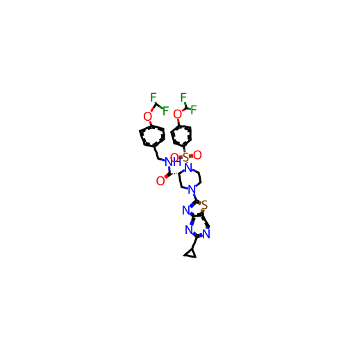 O=C(NCc1ccc(OC(F)F)cc1)[C@H]1CN(c2nc3nc(C4CC4)ncc3s2)CCN1S(=O)(=O)c1ccc(OC(F)F)cc1